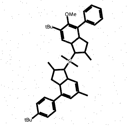 COC1=C(c2ccccc2)C2CC(C)C([Si](C)(C)C3C(C)CC4C(c5ccc(C(C)(C)C)cc5)=CC(C)=CC43)C2C=C1C(C)(C)C